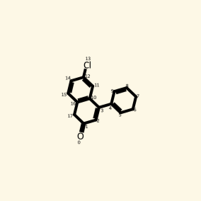 O=C1C=C(C2=CCCC=C2)c2cc(Cl)ccc2C1